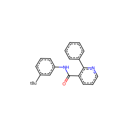 CC(C)(C)c1cccc(NC(=O)c2cccnc2-c2ccccc2)c1